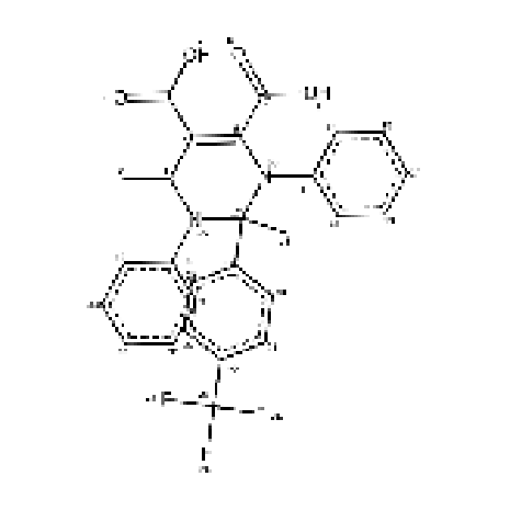 CC1C(C(=O)O)=C(C(=O)O)N(c2ccccc2)C(C)(c2ccc(C(F)(F)F)cc2)N1c1ccccc1